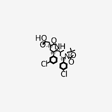 CC(C[C@@H](c1ccc(Cl)cc1)N1CC(C)(C)OC1=O)[C@@H]1NC(=O)[C@](C)(CC(=O)O)C[C@@H]1c1cccc(Cl)c1